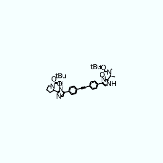 C[C@@H](c1nc(-c2ccc(C#Cc3ccc(-c4cnc(C5CCCN5C(=O)OC(C)(C)C)[nH]4)cc3)cc2)c[nH]1)N(C)C(=O)OC(C)(C)C